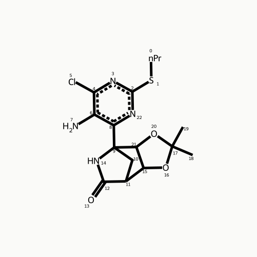 CCCSc1nc(Cl)c(N)c(C23CC(C(=O)N2)C2OC(C)(C)OC23)n1